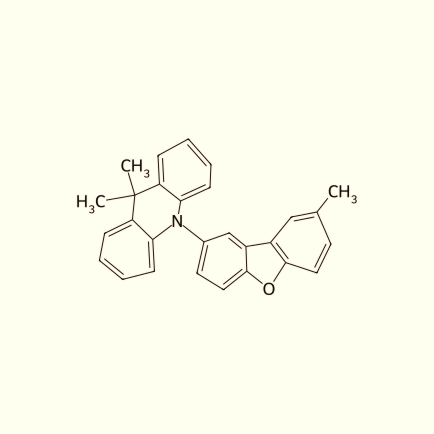 Cc1ccc2oc3ccc(N4c5ccccc5C(C)(C)c5ccccc54)cc3c2c1